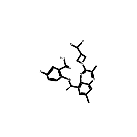 Cc1cc([C@@H](C)Nc2ccc(F)cc2C(=O)O)c2nc(N3CC(C(F)F)C3)c(C)nc2c1